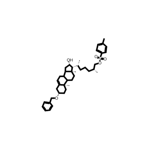 Cc1ccc(S(=O)(=O)OC[C@H](C)CCC[C@@H](C)[C@H]2[C@@H](O)CC3C4CC=C5C[C@@H](OCc6ccccc6)CC[C@]5(C)C4CC[C@@]32C)cc1